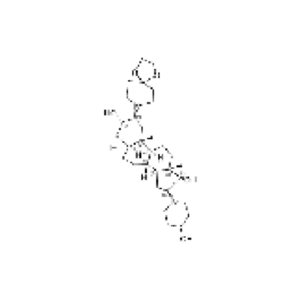 C[C@]12C[C@H](N3CCC4(CC3)OCCO4)[C@@H](O)C[C@@H]1CC[C@@H]1[C@@H]2CC[C@]2(C)[C@@H](O)[C@@H](N3CCC(O)CC3)C[C@@H]12